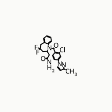 Cc1ccn(-c2ccc(C(=O)N3c4ccccc4CC(F)(F)CC3CC(N)=O)c(Cl)c2)n1